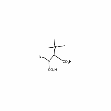 CCN(C(=O)O)C(C(=O)O)[N+](C)(C)C